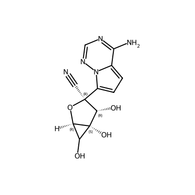 N#C[C@@]1(c2ccc3c(N)ncnn23)O[C@@H]2C(O)[C@]2(O)[C@H]1O